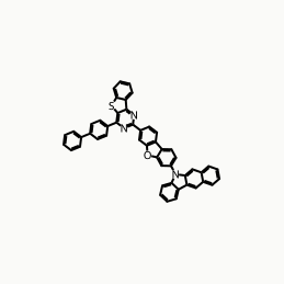 c1ccc(-c2ccc(-c3nc(-c4ccc5c(c4)oc4cc(-n6c7ccccc7c7cc8ccccc8cc76)ccc45)nc4c3sc3ccccc34)cc2)cc1